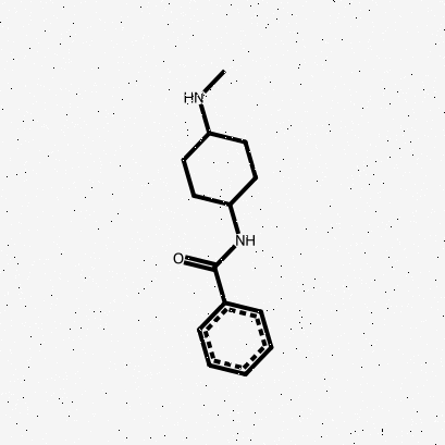 CNC1CCC(NC(=O)c2ccccc2)CC1